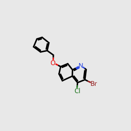 Clc1c(Br)cnc2cc(OCc3ccccc3)ccc12